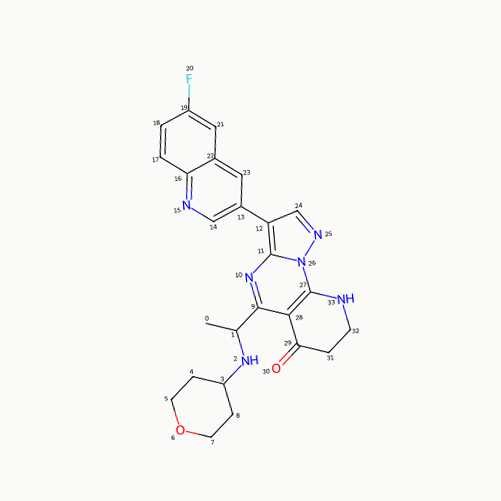 CC(NC1CCOCC1)c1nc2c(-c3cnc4ccc(F)cc4c3)cnn2c2c1C(=O)CCN2